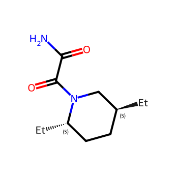 CC[C@H]1CC[C@H](CC)N(C(=O)C(N)=O)C1